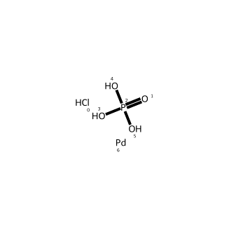 Cl.O=P(O)(O)O.[Pd]